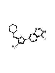 Cn1cc(-c2ccc3c(=O)[nH]cnc3c2)sc1=NC1CCCCC1